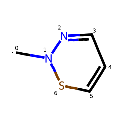 [CH2]N1N=CC=CS1